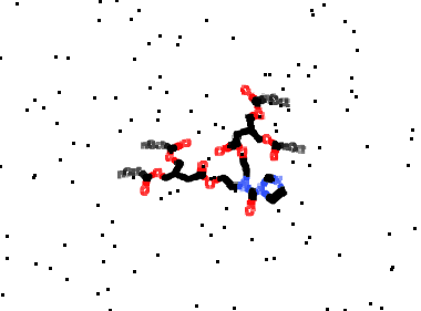 CCCCCCCCC(=O)OCC(COC(=O)CCCCCCCC)CC(=O)OCCN(CCOC(=O)CC(COC(=O)CCCCCCCC)COC(=O)CCCCCCCC)C(=O)n1ccnc1